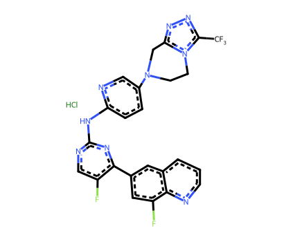 Cl.Fc1cnc(Nc2ccc(N3CCn4c(nnc4C(F)(F)F)C3)cn2)nc1-c1cc(F)c2ncccc2c1